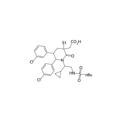 CCCCS(=O)(=O)NCC(C1CC1)N1C(=O)C(CC)(CC(=O)O)CC(c2cccc(Cl)c2)C1c1ccc(Cl)cc1